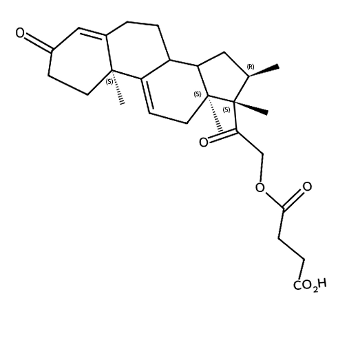 C[C@@H]1CC2C3CCC4=CC(=O)CC[C@]4(C)C3=CC[C@]2(C)[C@@]1(C)C(=O)COC(=O)CCC(=O)O